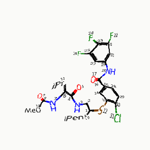 CCCC(C)C(CNC(=O)C(NC(=O)OC)C(C)C)Sc1cc(C(=O)Nc2cc(F)c(F)c(F)c2)ccc1Cl